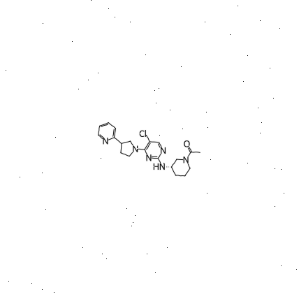 CC(=O)N1CCC[C@H](Nc2ncc(Cl)c(N3CCC(c4ccccn4)C3)n2)C1